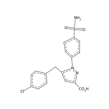 NS(=O)(=O)c1ccc(-n2nc(C(=O)O)cc2Cc2ccc(Cl)cc2)cc1